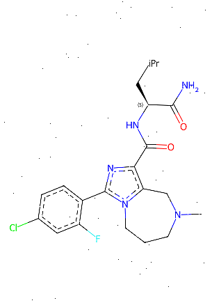 CC(C)C[C@H](NC(=O)c1nc(-c2ccc(Cl)cc2F)n2c1CN(C)CCC2)C(N)=O